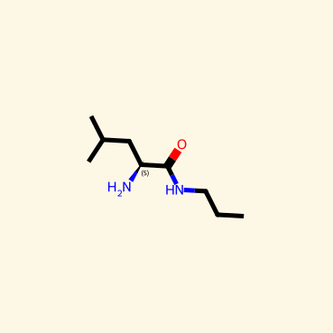 CCCNC(=O)[C@@H](N)CC(C)C